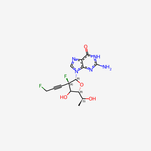 C[C@H](O)[C@H]1O[C@@H](n2cnc3c(=O)[nH]c(N)nc32)[C@@](F)(C#CCF)C1O